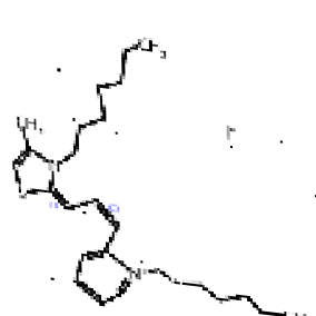 CCCCCCCN1C(C)=CS/C1=C/C=C\c1cccc[n+]1CCCCCCC.[I-]